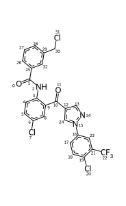 O=C(Nc1ccc(Cl)cc1C(=O)c1cnn(-c2ccc(Cl)c(C(F)(F)F)c2)c1)c1cccc(CCl)c1